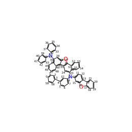 c1ccc(-c2cccc(N(c3ccc4c(c3)oc3ccccc34)c3cc4c(oc5cc(N(c6ccccc6)c6ccccc6)c6ccccc6c54)c4ccccc34)c2)cc1